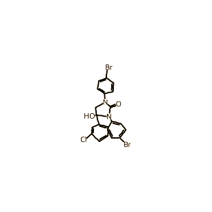 O=C1N(c2ccc(Br)cc2)CC(O)(c2cccc(Cl)c2)N1c1ccc(Br)cc1